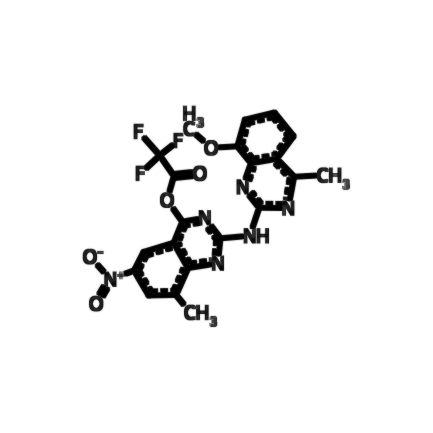 COc1cccc2c(C)nc(Nc3nc(OC(=O)C(F)(F)F)c4cc([N+](=O)[O-])cc(C)c4n3)nc12